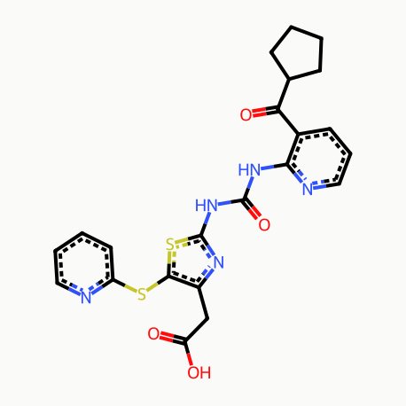 O=C(O)Cc1nc(NC(=O)Nc2ncccc2C(=O)C2CCCC2)sc1Sc1ccccn1